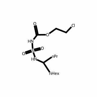 CCCCCCC(CCC)NS(=O)(=O)NC(=O)OCCCl